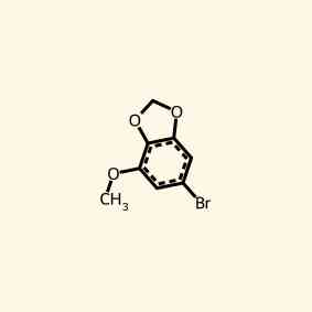 COc1cc(Br)cc2c1OCO2